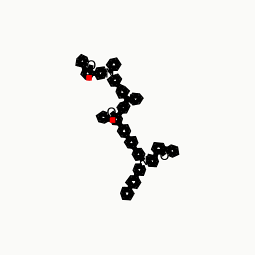 c1ccc(-c2ccc(-c3ccc(N(c4ccc(-c5ccc(-c6ccc(-c7cc(-c8ccc(N(c9ccccc9)c9ccc(-c%10ccc(N(c%11ccccc%11)c%11ccc(-c%12cccc%13c%12oc%12ccccc%12%13)cc%11)cc%10)cc9)cc8)c8oc9ccccc9c8c7)cc6)cc5)cc4)c4cccc(-c5cccc6c5oc5ccccc56)c4)cc3)cc2)cc1